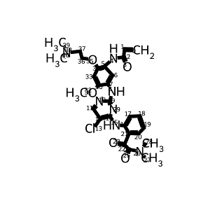 C=CC(=O)Nc1cc(Nc2ncc(Cl)c(Nc3ccccc3C(=O)C(=O)N(C)C)n2)c(OC)cc1OCCN(C)C